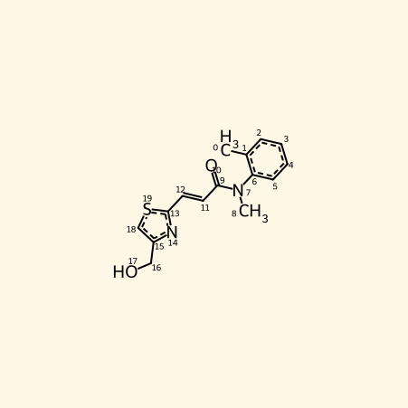 Cc1ccccc1N(C)C(=O)C=Cc1nc(CO)cs1